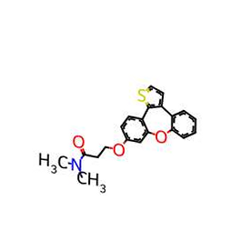 CN(C)C(=O)CCOc1ccc2c(c1)Oc1ccccc1-c1ccsc1-2